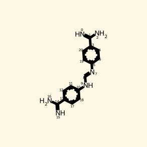 N=C(N)c1ccc(/N=C/Nc2ccc(C(=N)N)cc2)cc1